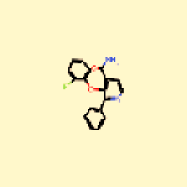 NC(=O)c1ccnc(-c2ccccc2)c1Oc1ccccc1F